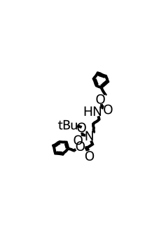 CC(C)(C)OC(=O)N(CCCNC(=O)OCc1ccccc1)CC(=O)OCc1ccccc1